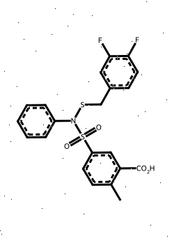 Cc1ccc(S(=O)(=O)N(SCc2ccc(F)c(F)c2)c2ccccc2)cc1C(=O)O